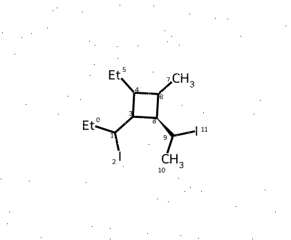 CCC(I)C1C(CC)C(C)[C@H]1C(C)I